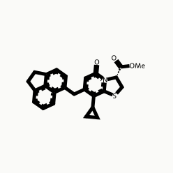 COC(=O)[C@@H]1CSc2c(C3CC3)c(Cc3ccc4c5c(cccc35)CC4)cc(=O)n21